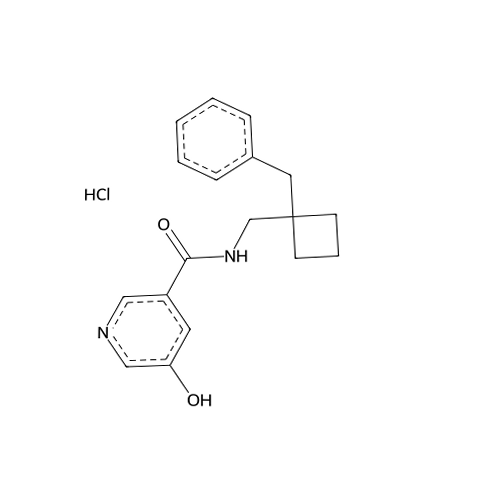 Cl.O=C(NCC1(Cc2ccccc2)CCC1)c1cncc(O)c1